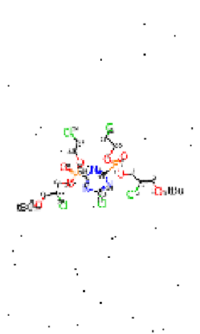 CC(C)(C)OCC(Cl)COP(=O)(OCCCl)c1nc(Cl)nc(P(=O)(OCCCl)OCC(Cl)COC(C)(C)C)n1